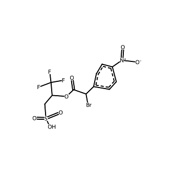 O=C(OC(CS(=O)(=O)O)C(F)(F)F)C(Br)c1ccc([N+](=O)[O-])cc1